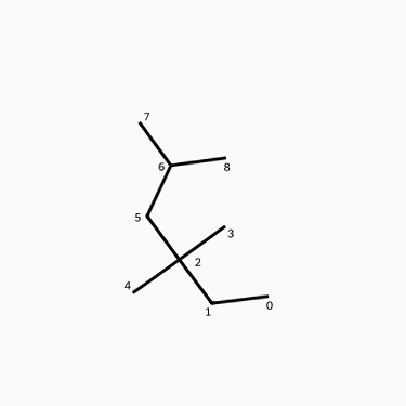 CCC(C)(C)CC(C)C